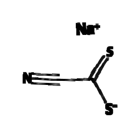 N#CC(=S)[S-].[Na+]